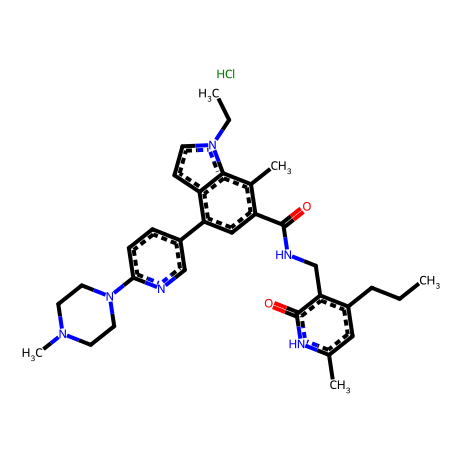 CCCc1cc(C)[nH]c(=O)c1CNC(=O)c1cc(-c2ccc(N3CCN(C)CC3)nc2)c2ccn(CC)c2c1C.Cl